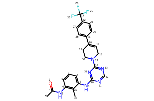 CC(=O)Nc1cccc(Nc2ncnc(N3CC=C(c4ccc(C(F)(F)F)cc4)CC3)n2)c1C